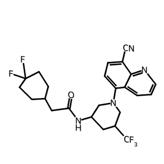 N#Cc1ccc(N2CC(NC(=O)CC3CCC(F)(F)CC3)CC(C(F)(F)F)C2)c2cccnc12